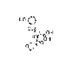 Cc1cccc2c1OC[C@H]2CC(NC(=O)[C@@H]1CCOC1)B(O)O